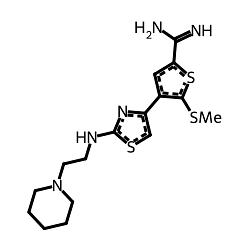 CSc1sc(C(=N)N)cc1-c1csc(NCCN2CCCCC2)n1